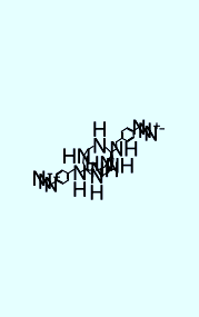 [N-]=[N+]=Nc1ccc(CNC23CNCCNCC(NCc4ccc(N=[N+]=[N-])cc4)(CNCCNC2)CNCCNC3)cc1